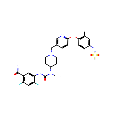 CCCCCN(C(=O)Nc1cc(C(N)=O)c(F)cc1F)C1CCN(Cc2ccc(Oc3ccc(NS(C)(=O)=O)cc3C)nc2)CC1